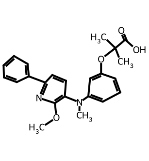 COc1nc(-c2ccccc2)ccc1N(C)c1cccc(OC(C)(C)C(=O)O)c1